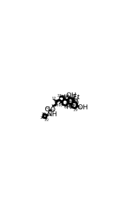 CC[C@H]1[C@@H](O)[C@@H]2[C@H](CC[C@]3(C)[C@@H]([C@H](C)CCOC(=O)NC4CCC4)CC[C@@H]23)[C@@]2(C)CC[C@@H](O)C[C@@H]12